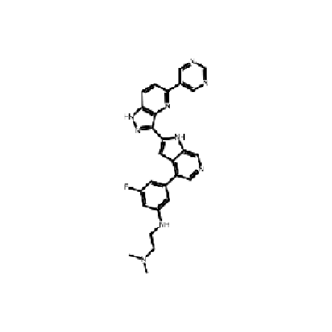 CN(C)CCNc1cc(F)cc(-c2cncc3[nH]c(-c4n[nH]c5ccc(-c6cncnc6)nc45)cc23)c1